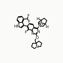 Fc1c(-c2c[nH]c3cccc(C(F)F)c23)ccc2c(N3C[C@H]4CC[C@@H](C3)N4)nc(OCC34CCCN3CCC4)nc12